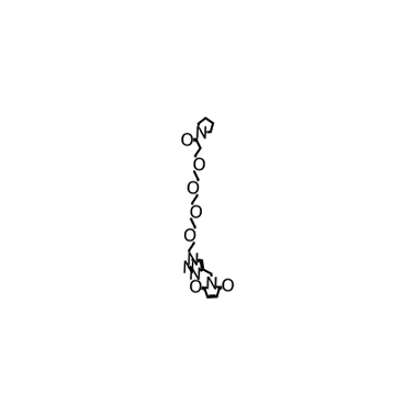 O=C(CCOCCOCCOCCOCCn1cc(CN2C(=O)C=CC2=O)nn1)N1CCCC1